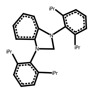 CC(C)c1cccc(C(C)C)c1N1CN(c2c(C(C)C)cccc2C(C)C)c2ccccc21